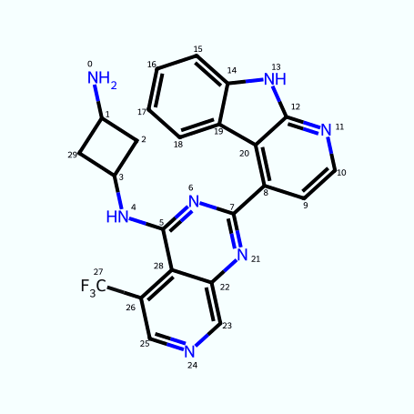 NC1CC(Nc2nc(-c3ccnc4[nH]c5ccccc5c34)nc3cncc(C(F)(F)F)c23)C1